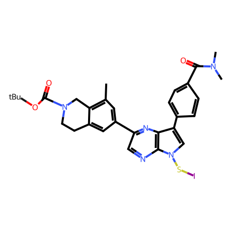 Cc1cc(-c2cnc3c(n2)c(-c2ccc(C(=O)N(C)C)cc2)cn3SI)cc2c1CN(C(=O)OC(C)(C)C)CC2